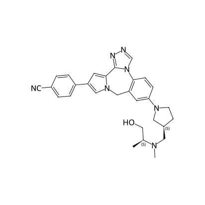 C[C@@H](CO)N(C)C[C@@H]1CCN(c2ccc3c(c2)Cn2cc(-c4ccc(C#N)cc4)cc2-c2nncn2-3)C1